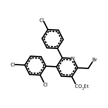 CCOC(=O)c1cc(-c2ccc(Cl)cc2Cl)c(-c2ccc(Cl)cc2)nc1CBr